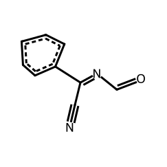 N#CC(=NC=O)c1ccccc1